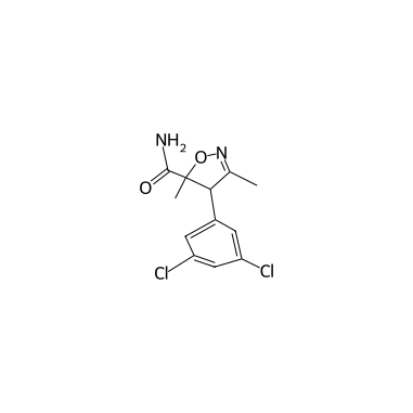 CC1=NOC(C)(C(N)=O)C1c1cc(Cl)cc(Cl)c1